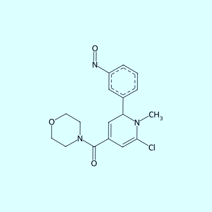 CN1C(Cl)=CC(C(=O)N2CCOCC2)=CC1c1cccc(N=O)c1